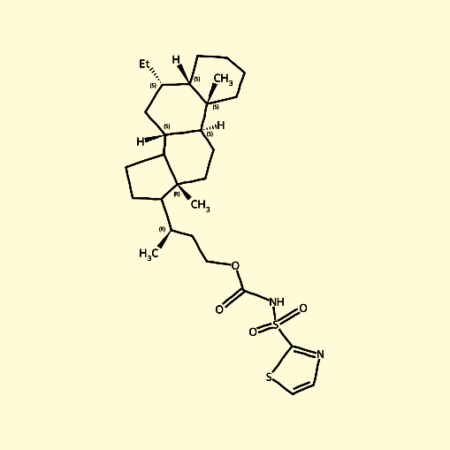 CC[C@H]1C[C@H]2C3CCC([C@H](C)CCOC(=O)NS(=O)(=O)c4nccs4)[C@@]3(C)CC[C@@H]2[C@@]2(C)CCCC[C@@H]12